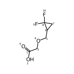 O=C(O)COCC1CC1(F)F